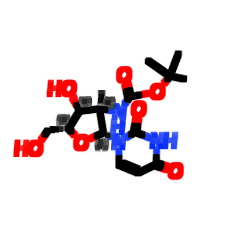 CC(C)(C)OC(=O)N[C@]1(C)[C@H](O)[C@@H](CO)O[C@H]1n1ccc(=O)[nH]c1=O